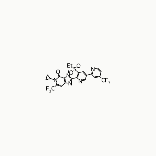 CCS(=O)(=O)c1cc(-c2cc(C(F)(F)F)ccn2)cnc1-c1nc2cc(C(F)(F)F)n(C3CC3)c(=O)c2n1C